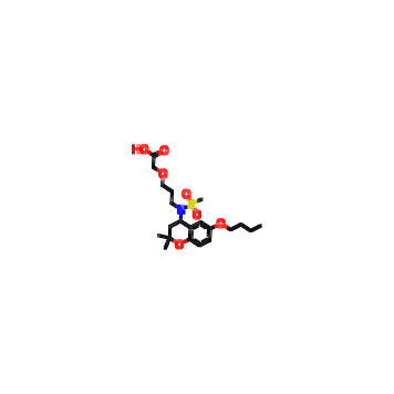 CCCCOc1ccc2c(c1)C(N(CCCOCC(=O)O)S(C)(=O)=O)CC(C)(C)O2